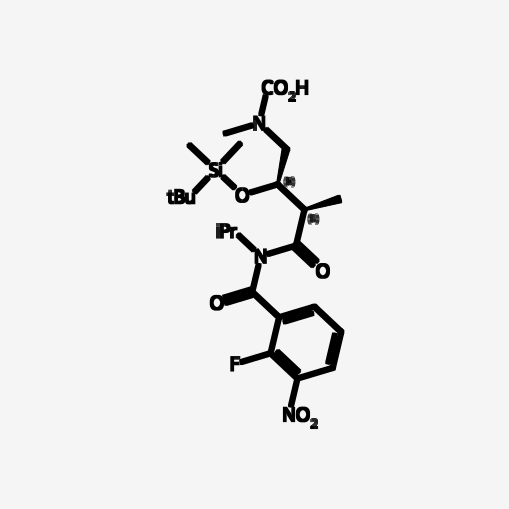 CC(C)N(C(=O)c1cccc([N+](=O)[O-])c1F)C(=O)[C@H](C)[C@H](CN(C)C(=O)O)O[Si](C)(C)C(C)(C)C